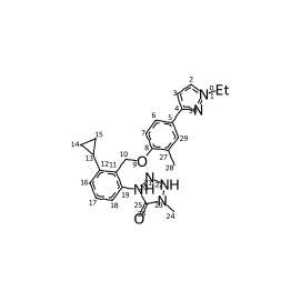 CCn1ccc(-c2ccc(OCc3c(C4CC4)cccc3N3NNN(C)C3=O)c(C)c2)n1